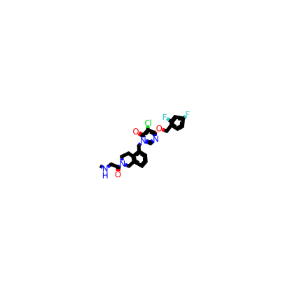 CNCC(=O)N1CCc2c(cccc2Cn2cnc(OCc3ccc(F)cc3F)c(Cl)c2=O)C1